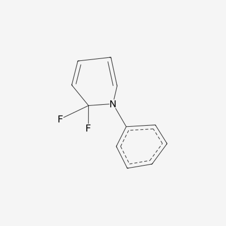 FC1(F)C=CC=CN1c1ccccc1